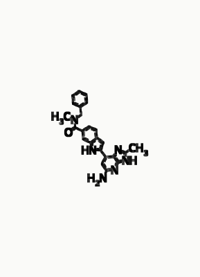 Cc1nc2c(-c3cc4ccc(C(=O)N(C)Cc5ccccc5)cc4[nH]3)cc(N)nc2[nH]1